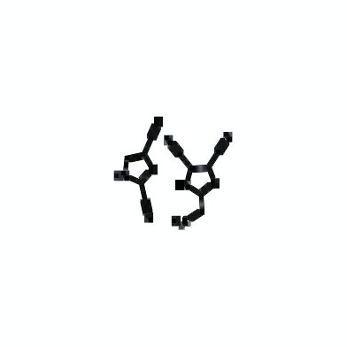 C=Cc1nc(C#N)c(C#N)[nH]1.N#Cc1c[nH]c(C#N)n1